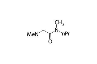 CCCN(C)C(=O)CNC